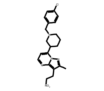 Cc1nn2c(C3CCCN(Cc4ccc(Cl)cc4)C3)ccnc2c1CC[N+](=O)[O-]